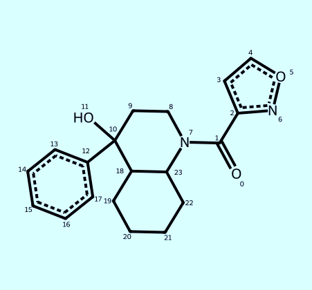 O=C(c1ccon1)N1CCC(O)(c2ccccc2)C2CCCCC21